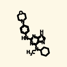 CN(c1nc(Nc2ccc(N3CCOCC3)cc2)nc2[nH]cnc12)C1CCCCC1